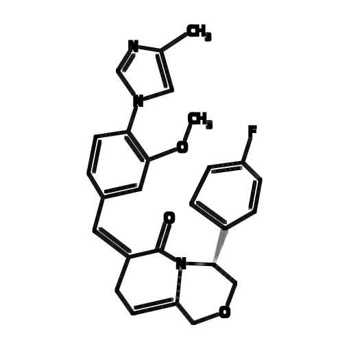 COc1cc(C=C2CC=C3COC[C@@H](c4ccc(F)cc4)N3C2=O)ccc1-n1cnc(C)c1